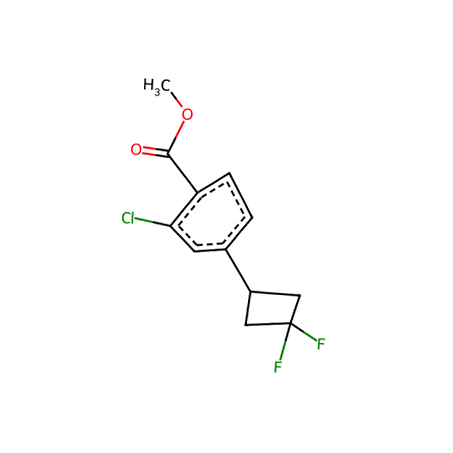 COC(=O)c1ccc(C2CC(F)(F)C2)cc1Cl